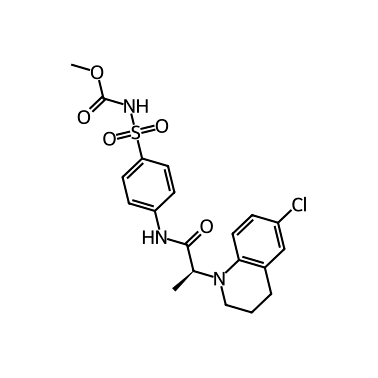 COC(=O)NS(=O)(=O)c1ccc(NC(=O)[C@H](C)N2CCCc3cc(Cl)ccc32)cc1